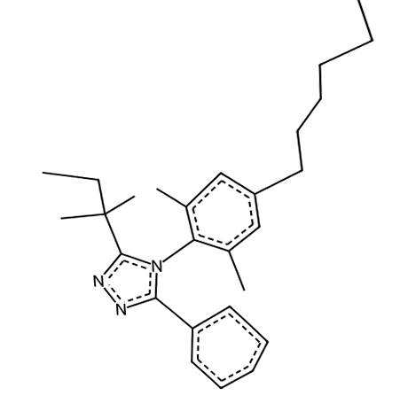 CCCCCCc1cc(C)c(-n2c(-c3ccccc3)nnc2C(C)(C)CC)c(C)c1